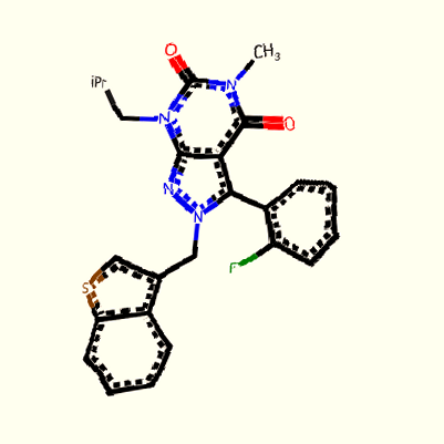 CC(C)Cn1c(=O)n(C)c(=O)c2c(-c3ccccc3F)n(Cc3csc4ccccc34)nc21